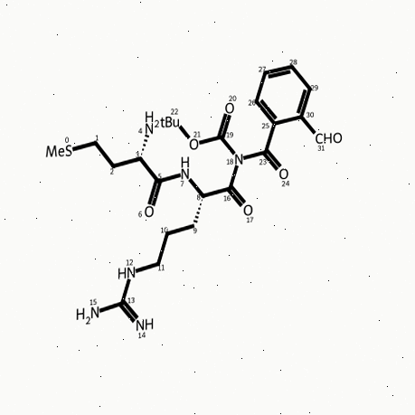 CSCC[C@H](N)C(=O)N[C@@H](CCCNC(=N)N)C(=O)N(C(=O)OC(C)(C)C)C(=O)c1ccccc1C=O